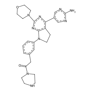 Nc1ncc(-c2nc(N3CCOCC3)nc3c2CCN3c2cccc(CC(=O)N3CCNCC3)c2)cn1